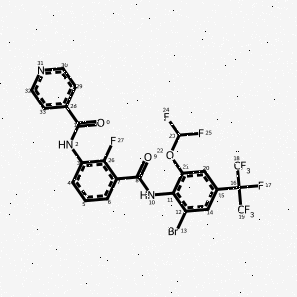 O=C(Nc1cccc(C(=O)Nc2c(Br)cc(C(F)(C(F)(F)F)C(F)(F)F)cc2OC(F)F)c1F)c1ccncc1